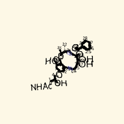 CC(=O)NCC(O)COc1cc(O)c2c(c1)/C=C/CC(O)C(O)C(OC(=O)c1ccccc1)/C=C\[C@@H](C)C(C)OC2=O